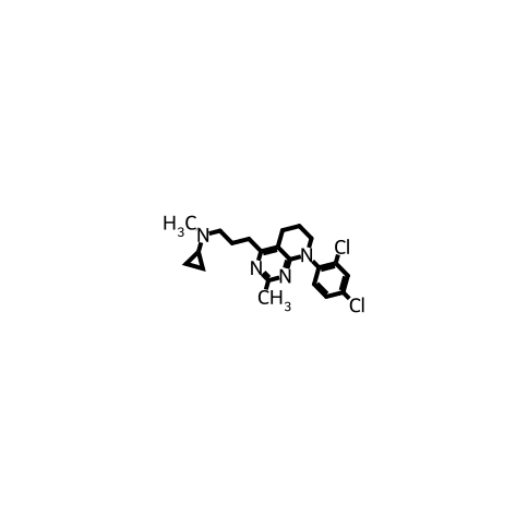 Cc1nc(CCCN(C)C2CC2)c2c(n1)N(c1ccc(Cl)cc1Cl)CCC2